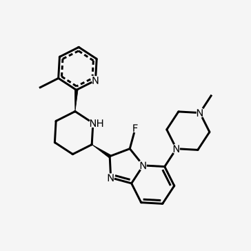 Cc1cccnc1[C@@H]1CCC[C@H](C2N=C3C=CC=C(N4CCN(C)CC4)N3C2F)N1